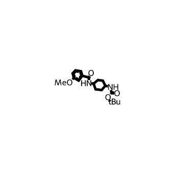 COc1cccc(C(=O)NC2CCC(NC(=O)OC(C)(C)C)CC2)c1